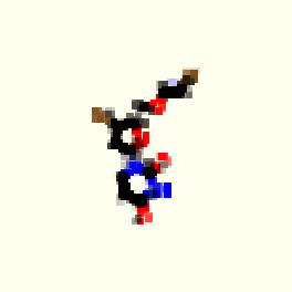 O=c1ccn([C@@H]2CC(Br)[C@H](CO/C=C/Br)O2)c(=O)[nH]1